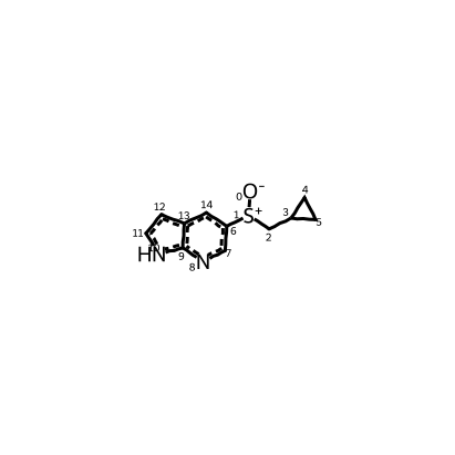 [O-][S+](CC1CC1)c1cnc2[nH]ccc2c1